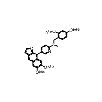 COc1ccc(CN(C)c2ccc(-c3c4cc(OC)c(OC)cc4cc4ccoc34)cn2)c(OC)c1